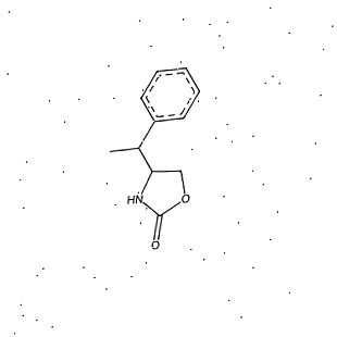 CC(c1ccccc1)C1COC(=O)N1